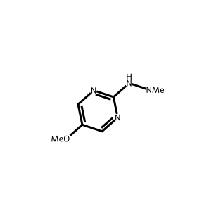 CNNc1ncc(OC)cn1